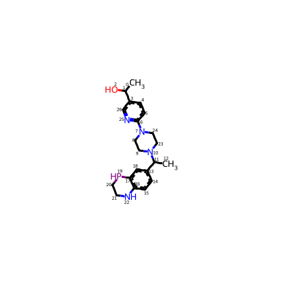 CC(O)c1ccc(N2CCN(C(C)c3ccc4c(c3)PCCN4)CC2)nc1